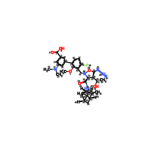 COc1c(-c2cc(C(=O)O)cc(N(C)C)c2)ccc(F)c1CN1OC(N=[N+]=[N-])[C@@H]([C@H](C)O)[C@H]1C(=O)N[C@H]1C[C@H]2C[C@@H]([C@@H]1C)C2(C)C